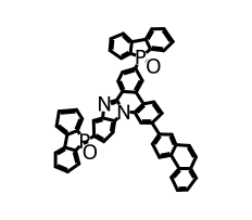 O=P1(c2ccc3c(c2)nc2c4ccc(P5(=O)c6ccccc6-c6ccccc65)cc4c4ccc(-c5ccc6c(ccc7ccccc76)c5)cc4n32)c2ccccc2-c2ccccc21